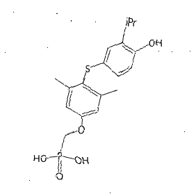 Cc1cc(OCP(=O)(O)O)cc(C)c1Sc1ccc(O)c(C(C)C)c1